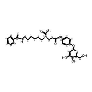 CCC(=O)N(CCCCCCNC(=O)c1ccccc1)CCC(=O)Nc1ccc(OC2C=C(O)C(O)C(CO)O2)cc1